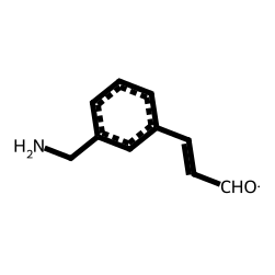 NCc1cccc(C=C[C]=O)c1